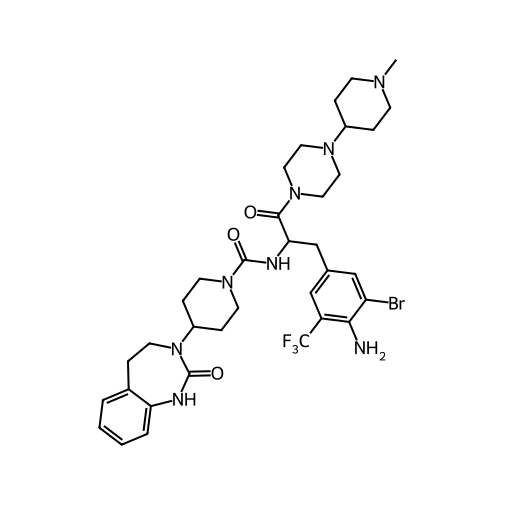 CN1CCC(N2CCN(C(=O)C(Cc3cc(Br)c(N)c(C(F)(F)F)c3)NC(=O)N3CCC(N4CCc5ccccc5NC4=O)CC3)CC2)CC1